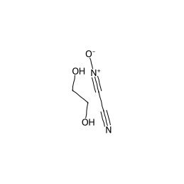 N#CC#[N+][O-].OCCO